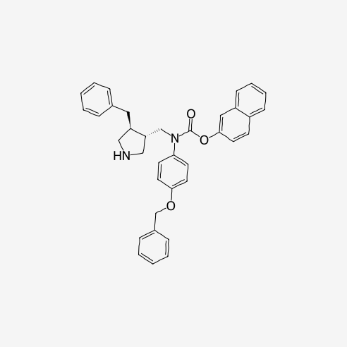 O=C(Oc1ccc2ccccc2c1)N(C[C@@H]1CNC[C@H]1Cc1ccccc1)c1ccc(OCc2ccccc2)cc1